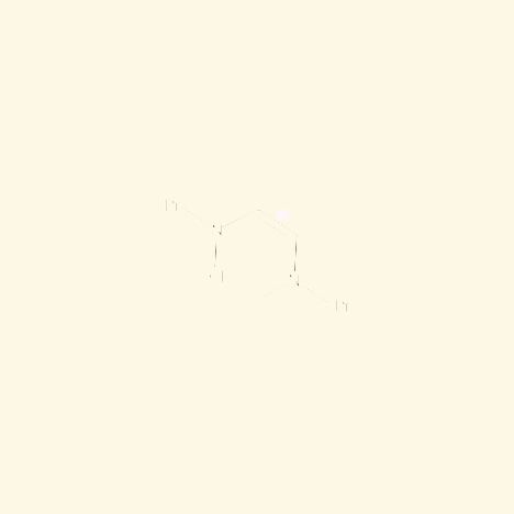 CC(C)N(C)/C=C\N(C)C(C)C